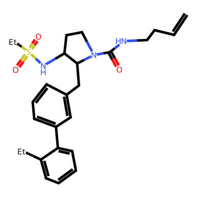 C=CCCNC(=O)N1CCC(NS(=O)(=O)CC)C1Cc1cccc(-c2ccccc2CC)c1